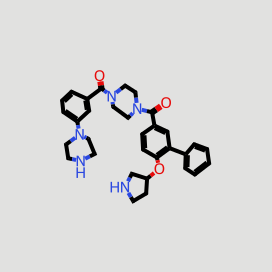 O=C(c1cccc(N2CCNCC2)c1)N1CCN(C(=O)c2ccc(OC3CCNC3)c(-c3ccccc3)c2)CC1